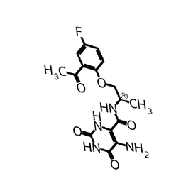 CC(=O)c1cc(F)ccc1OC[C@@H](C)NC(=O)c1[nH]c(=O)[nH]c(=O)c1N